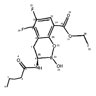 CCCC(=O)N[C@H]1Cc2c(F)c(F)cc(C(=O)OCI)c2OB1O